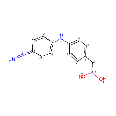 [N-]=[N+]=C1C=CC(Nc2ccc(CP(O)O)cc2)=CC1